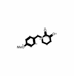 COc1ccc(CN2CCCC(=O)C2=O)cc1